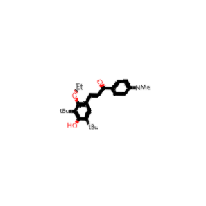 CCOc1c(/C=C/C(=O)c2ccc(NC)cc2)cc(C(C)(C)C)c(O)c1C(C)(C)C